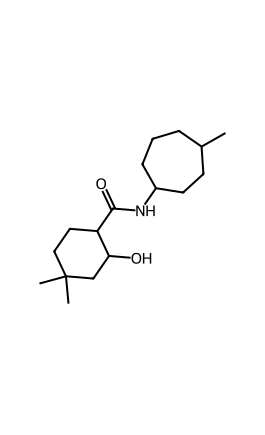 CC1CCCC(NC(=O)C2CCC(C)(C)CC2O)CC1